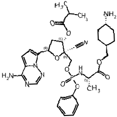 CC(C)C(=O)O[C@H]1C[C@H](c2ccc3c(N)ncnn23)O[C@]1(C#N)COP(=O)(N[C@@H](C)C(=O)OC[C@H]1CC[C@H](N)CC1)Oc1ccccc1